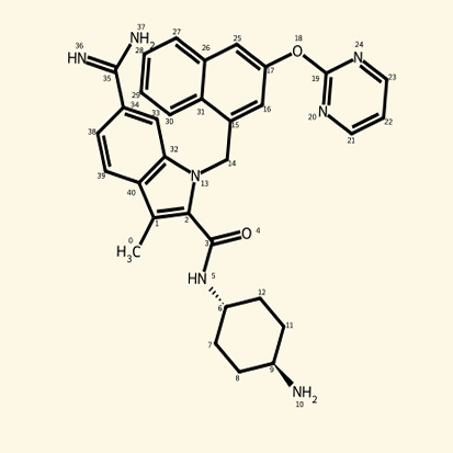 Cc1c(C(=O)N[C@H]2CC[C@H](N)CC2)n(Cc2cc(Oc3ncccn3)cc3ccccc23)c2cc(C(=N)N)ccc12